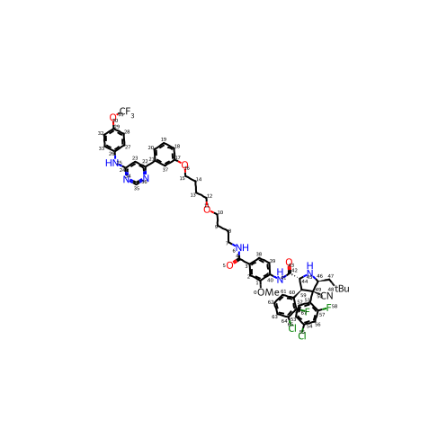 COc1cc(C(=O)NCCCCOCCCCOc2cccc(-c3cc(Nc4ccc(OC(F)(F)F)cc4)ncn3)c2)ccc1NC(=O)[C@@H]1N[C@@H](CC(C)(C)C)[C@](C#N)(c2ccc(Cl)cc2F)[C@H]1c1cccc(Cl)c1F